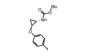 CC(C)(C)OC(=O)N[C@H]1C[C@@H]1Oc1ccc(I)cc1